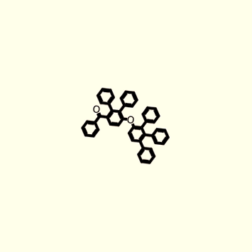 O=C(c1ccccc1)c1ccc(Oc2ccc(-c3ccccc3)c(-c3ccccc3)c2-c2ccccc2)c(-c2ccccc2)c1-c1ccccc1